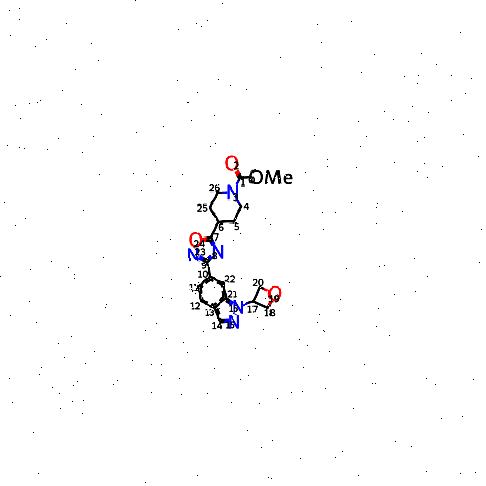 COC(=O)N1CCC(c2nc(-c3ccc4cnn(C5COC5)c4c3)no2)CC1